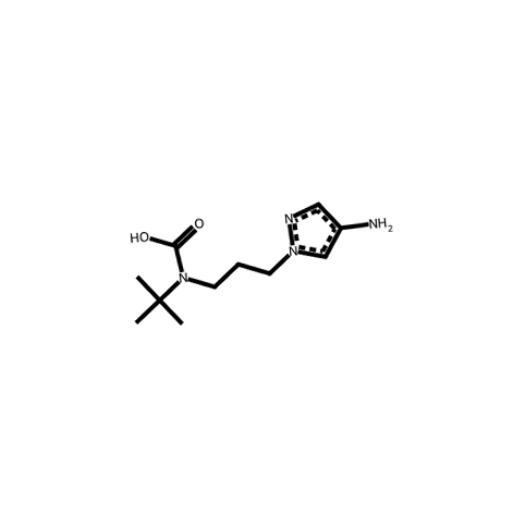 CC(C)(C)N(CCCn1cc(N)cn1)C(=O)O